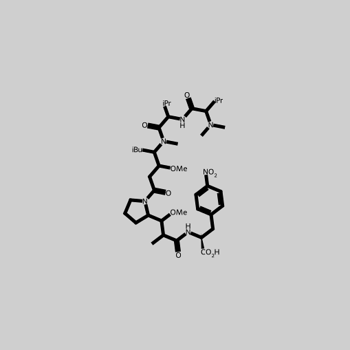 CCC(C)C(C(CC(=O)N1CCCC1C(OC)C(C)C(=O)N[C@@H](Cc1ccc([N+](=O)[O-])cc1)C(=O)O)OC)N(C)C(=O)C(NC(=O)C(C(C)C)N(C)C)C(C)C